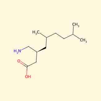 CC(C)CCC(C)C[C@H](CN)CC(=O)O